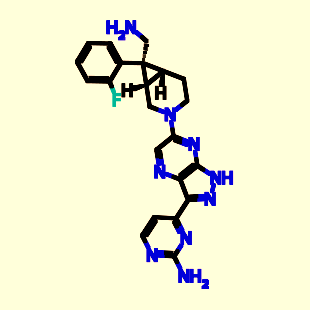 NC[C@]1(c2ccccc2F)[C@@H]2CCN(c3cnc4c(-c5ccnc(N)n5)n[nH]c4n3)C[C@@H]21